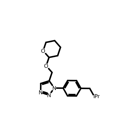 CC(C)Cc1ccc(-n2nncc2COC2CCCCO2)cc1